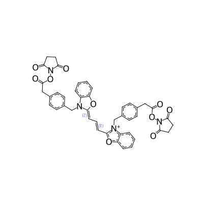 O=C(Cc1ccc(CN2/C(=C/C=C/c3oc4ccccc4[n+]3Cc3ccc(CC(=O)ON4C(=O)CCC4=O)cc3)Oc3ccccc32)cc1)ON1C(=O)CCC1=O